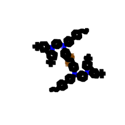 CCCc1ccc(-c2ccc(N(c3cccc(-n4c5ccc(C(C)(C)C)cc5c5cc(C(C)(C)C)ccc54)c3)c3ccc4c(c3)sc3c5ccc(N(c6ccc(-c7ccc(CCC)cc7)cc6)c6cccc(-n7c8ccc(C(C)(C)C)cc8c8cc(C(C)(C)C)ccc87)c6)cc5sc43)cc2)cc1